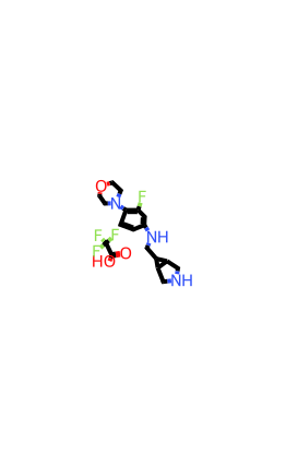 Fc1cc(NCC2C3CNCC32)ccc1N1CCOCC1.O=C(O)C(F)(F)F